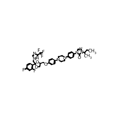 CCC(C)n1ncn(-c2ccc(N3CCN(c4ccc(OCC5COC(Cn6cnc(C(F)(F)F)n6)(c6ccc(F)cc6F)O5)cc4)CC3)cc2)c1=O